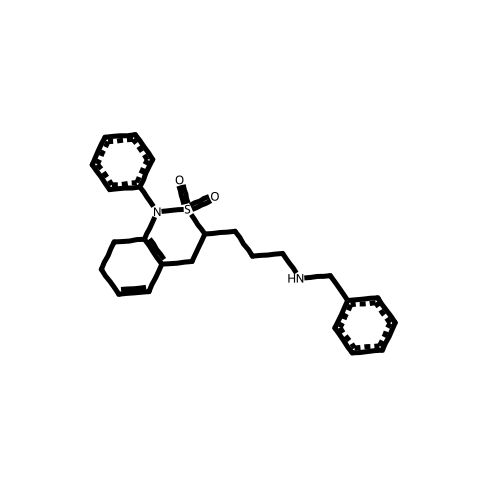 O=S1(=O)C(CCCNCc2ccccc2)CC2=C(CCC=C2)N1c1ccccc1